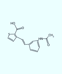 CC(=O)Nc1cccc(C=Cc2ccsc2C(=O)O)c1